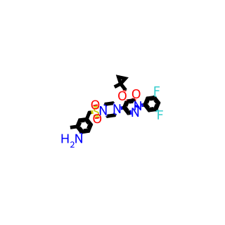 Cc1cc(CS(=O)(=O)N2CCN(c3cnn(-c4cc(F)cc(F)c4)c(=O)c3OCC3(C)CC3)CC2)ccc1N